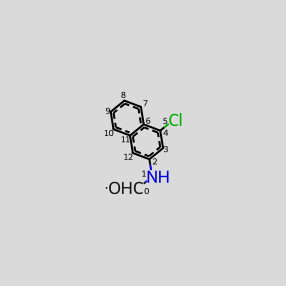 O=[C]Nc1cc(Cl)c2ccccc2c1